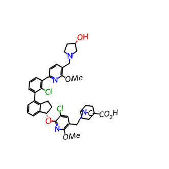 COc1nc(-c2cccc(-c3cccc4c3CC[C@@H]4Oc3nc(OC)c(CN4CC5(C(=O)O)CCC4CC5)cc3Cl)c2Cl)ccc1CN1CC[C@@H](O)C1